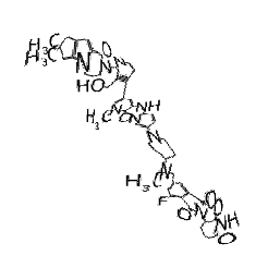 CN(Cc1cc(F)c2c(c1)C(=O)N(C1CCC(=O)NC1=O)C2=O)C1CCN(c2ccc(Nc3cc(-c4ccnc(N5CCn6c(cc7c6CC(C)(C)C7)C5=O)c4CO)cn(C)c3=O)nc2)CC1